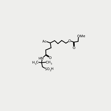 COCC(=O)OCCCCC(CCC(=O)NC(C)(C)CS(=O)(=O)O)C(C)=O